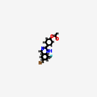 CC(=O)OC1CCC(C2N=Cc3cc(Br)cc(F)c3N2)CC1